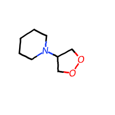 C1CCN(C2COOC2)CC1